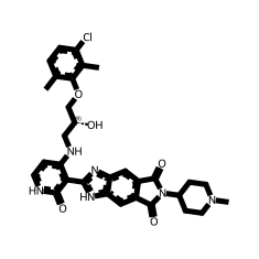 Cc1ccc(Cl)c(C)c1OC[C@H](O)CNc1cc[nH]c(=O)c1-c1nc2cc3c(cc2[nH]1)C(=O)N(C1CCN(C)CC1)C3=O